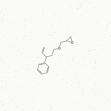 C=C[C](CCOCC1CO1)c1ccccc1